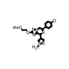 COCCOc1nc2c(-c3cnn(C)c3)nc(-c3ccc(Cl)cc3)cn2n1